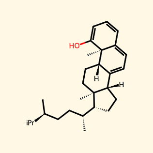 CC(C)[C@@H](C)CC[C@@H](C)[C@H]1CC[C@H]2C3=CC=C4C=CC=C(O)[C@]4(C)[C@H]3CC[C@]12C